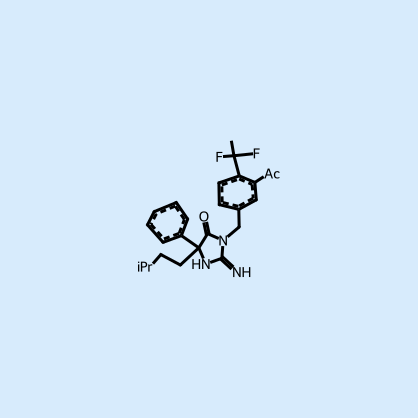 CC(=O)c1cc(CN2C(=N)NC(CCC(C)C)(c3ccccc3)C2=O)ccc1C(C)(F)F